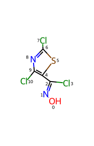 ON=C(Cl)c1sc(Cl)nc1Cl